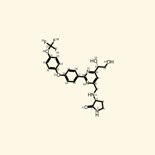 O=C1NCC[C@@H]1NCc1cc([C@H](O)CO)nc(-c2ccc(Oc3ccc(OC(F)(F)F)cc3)cc2)n1